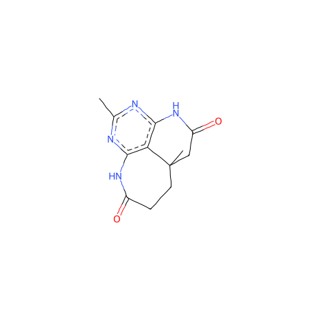 Cc1nc2c3c(n1)NC(=O)CC3(C)CCC(=O)N2